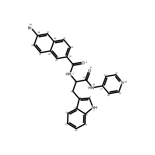 O=C(NC(Cc1c[nH]c2ccccc12)C(=O)Nc1ccncc1)c1ccc2cc(Br)ccc2c1